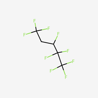 FC(CC(F)(F)F)C(F)(F)C(F)(F)F